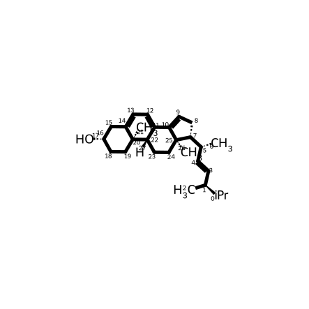 CC(C)[C@@H](C)/C=C/[C@@H](C)[C@H]1CC=C2C3=CC=C4C[C@@H](O)CC[C@]4(C)[C@H]3CC[C@@]21C